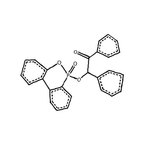 O=C(c1ccccc1)C(OP1(=O)Oc2ccccc2-c2ccccc21)c1ccccc1